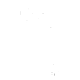 C=C(F)OC(F)(F)c1c(F)cc(-c2ccc(/C=C/c3ccc(OCC)cc3)cc2F)cc1F